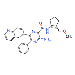 COC[C@@H]1CCC[C@@H]1NC(=O)c1nc(-c2ccc3ncccc3c2)c(-c2ccccc2)nc1N